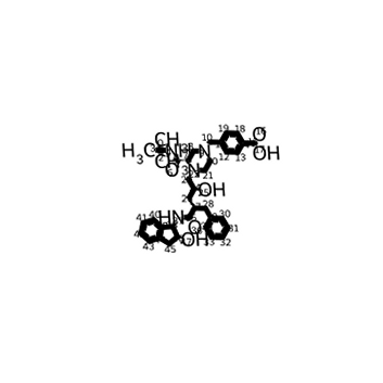 CC(C)(C)NC(=O)[C@@H]1CN(Cc2ccc(C(=O)O)cc2)CCN1C[C@@H](O)C[C@@H](Cc1ccccc1)C(=O)N[C@H]1c2ccccc2C[C@H]1O